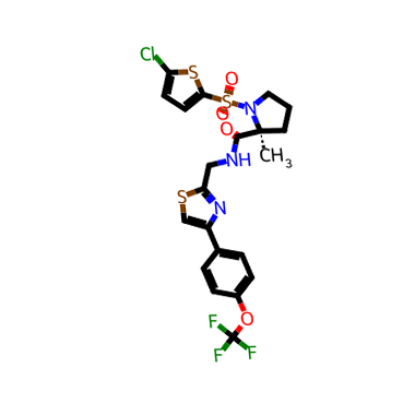 C[C@@]1(C(=O)NCc2nc(-c3ccc(OC(F)(F)F)cc3)cs2)CCCN1S(=O)(=O)c1ccc(Cl)s1